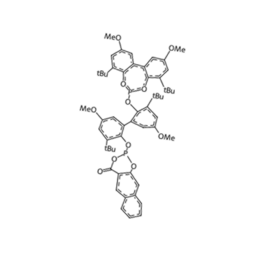 COc1cc(-c2cc(OC)cc(C(C)(C)C)c2Op2oc3c(C(C)(C)C)cc(OC)cc3c3cc(OC)cc(C(C)(C)C)c3o2)c(OP2OC(=O)c3cc4ccccc4cc3O2)c(C(C)(C)C)c1